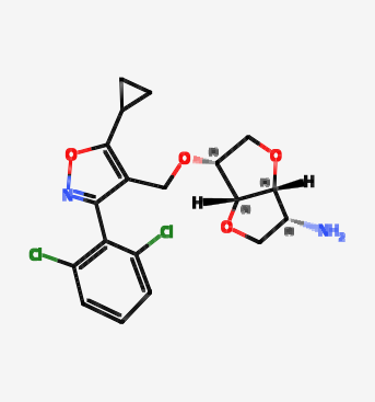 N[C@@H]1CO[C@H]2[C@@H]1OC[C@H]2OCc1c(-c2c(Cl)cccc2Cl)noc1C1CC1